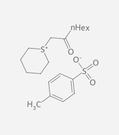 CCCCCCC(=O)C[S+]1CCCCC1.Cc1ccc(S(=O)(=O)[O-])cc1